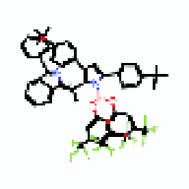 C/C(=C1/N=C(c2ccccc2)c2ccccc21)c1c(-c2ccc(C(C)(C)C)cc2)cc(-c2ccc(C(C)(C)C)cc2)n1B(Oc1cc(C(F)(F)F)cc(C(F)(F)F)c1)Oc1cc(C(F)(F)F)cc(C(F)(F)F)c1